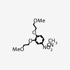 CC#N.COCCOc1ccc([N+](=O)[O-])cc1OCCOC